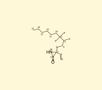 C=CC1(CCC(C)C(C)(C)CCCCCC)NC1=O